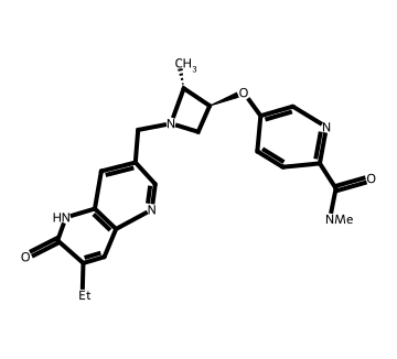 CCc1cc2ncc(CN3C[C@H](Oc4ccc(C(=O)NC)nc4)[C@H]3C)cc2[nH]c1=O